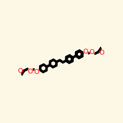 c1cc(-c2ccc(OCOCC3CO3)cc2)ccc1CCC1CCC(C2CCC(OCOCC3CO3)CC2)CC1